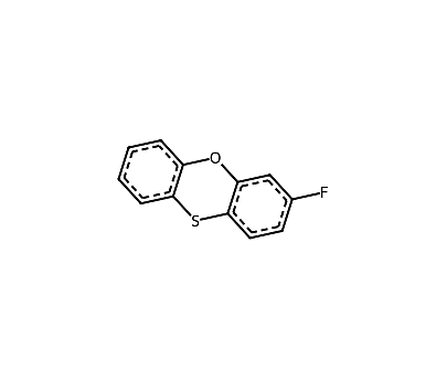 Fc1ccc2c(c1)Oc1ccccc1S2